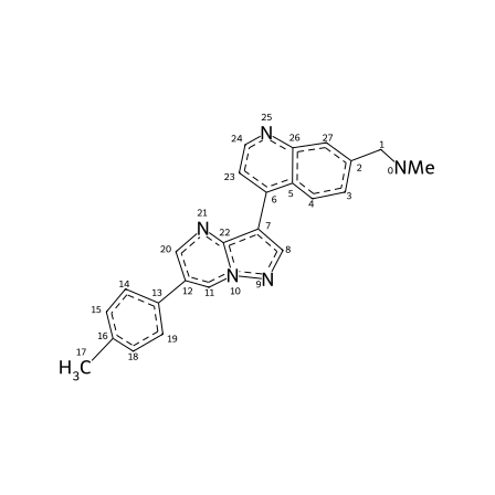 CNCc1ccc2c(-c3cnn4cc(-c5ccc(C)cc5)cnc34)ccnc2c1